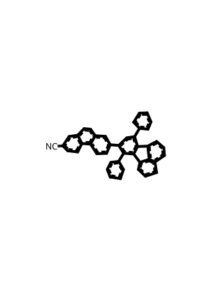 N#Cc1ccc2c(ccc3cc(-c4cc(-c5ccccc5)c5c(c4-c4ccccc4)-c4cccc6cccc-5c46)ccc32)c1